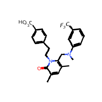 Cc1cc(C)c(=O)n(CCc2ccc(C(=O)O)cc2)c1CN(C)c1cccc(C(F)(F)F)c1